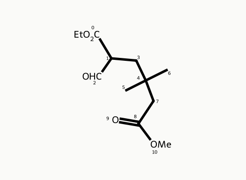 CCOC(=O)C(C=O)CC(C)(C)CC(=O)OC